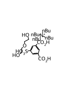 CCCC[N+](CCCC)(CCCC)CCCC.O=C(O)c1cc(C(=O)O)cc(S(=O)(=O)O)c1.OCCOCCO